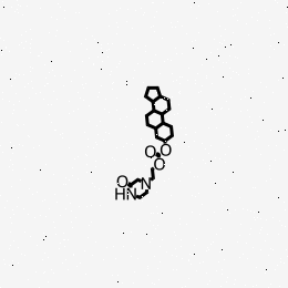 O=C1CN(CCOC(=O)OC2CCC3C(CCC4C5CCCC5CCC34)C2)CCN1